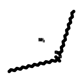 CCCCCCCCCCCCCCCCCC(C)(C)OC(=O)CCCCCCCCCCCCCCC.N